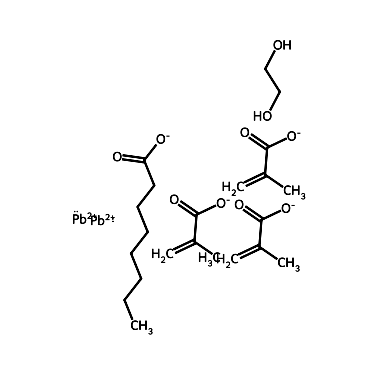 C=C(C)C(=O)[O-].C=C(C)C(=O)[O-].C=C(C)C(=O)[O-].CCCCCCCC(=O)[O-].OCCO.[Pb+2].[Pb+2]